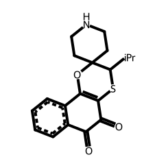 CC(C)C1SC2=C(OC13CCNCC3)c1ccccc1C(=O)C2=O